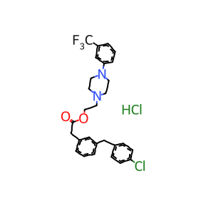 Cl.O=C(Cc1cccc(Cc2ccc(Cl)cc2)c1)OCCN1CCN(c2cccc(C(F)(F)F)c2)CC1